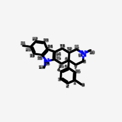 Cc1cccc(C23CCN(C)CC2Cc2c(n(C)c4cc(C)ccc24)C3)c1